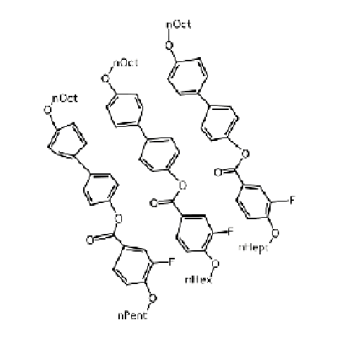 CCCCCCCCOc1ccc(-c2ccc(OC(=O)c3ccc(OCCCCC)c(F)c3)cc2)cc1.CCCCCCCCOc1ccc(-c2ccc(OC(=O)c3ccc(OCCCCCC)c(F)c3)cc2)cc1.CCCCCCCCOc1ccc(-c2ccc(OC(=O)c3ccc(OCCCCCCC)c(F)c3)cc2)cc1